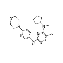 CN(c1nc(Nc2ccc(N3CCOCC3)nc2)ncc1Br)C1CCCC1